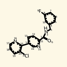 O=C(NCc1cccc(F)c1)c1ccc(-c2ncccc2Cl)cn1